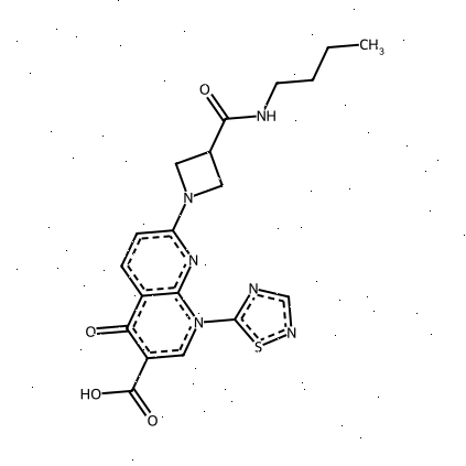 CCCCNC(=O)C1CN(c2ccc3c(=O)c(C(=O)O)cn(-c4ncns4)c3n2)C1